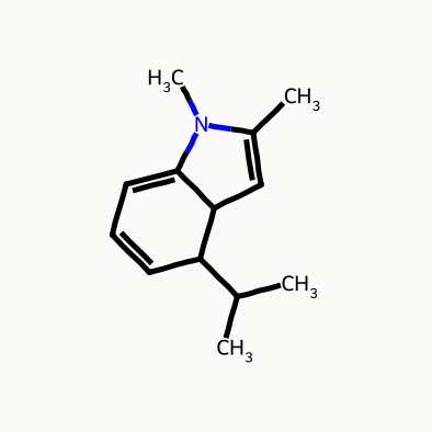 CC1=CC2C(=CC=CC2C(C)C)N1C